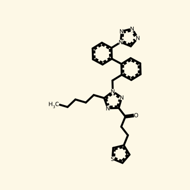 CCCCCc1nc(C(=O)CCc2ccsc2)nn1Cc1ccccc1-c1ccccc1-n1cnnn1